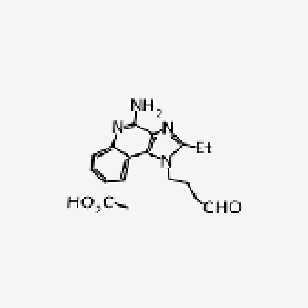 CC(=O)O.CCc1nc2c(N)nc3ccccc3c2n1CCCC=O